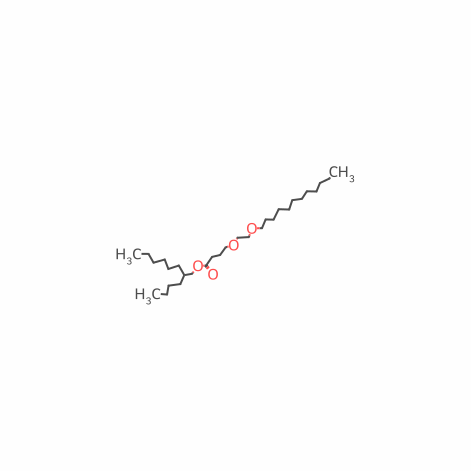 CCCCCCCCCCCCOCCOCCCC(=O)OCC(CCCC)CCCCCC